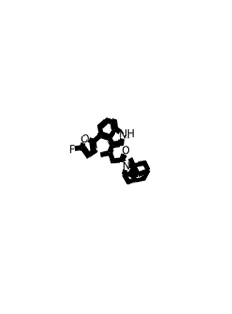 CC(CC(=O)N1C2CC3CC(C2)C(C)C1C3)c1c[nH]c2cccc(-c3ccc(F)o3)c12